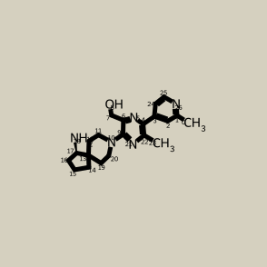 Cc1cc(-c2nc(CO)c(N3CCC4(CCC[C@H]4N)CC3)nc2C)ccn1